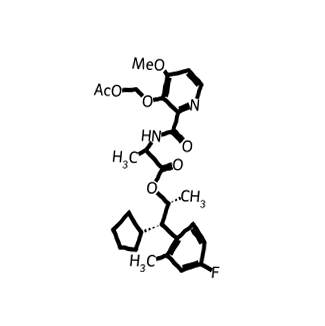 COc1ccnc(C(=O)NC(C)C(=O)O[C@H](C)[C@H](c2ccc(F)cc2C)C2CCCC2)c1OCOC(C)=O